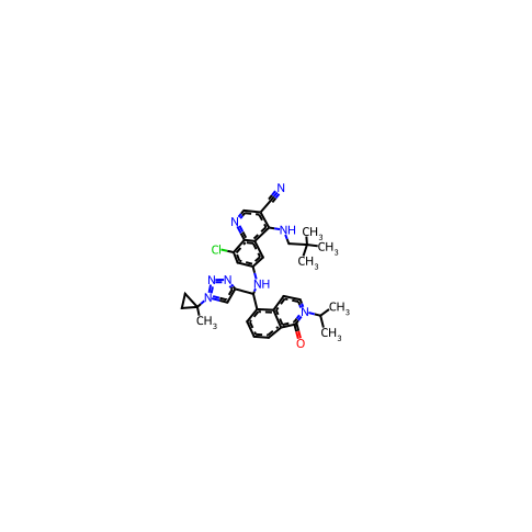 CC(C)n1ccc2c(C(Nc3cc(Cl)c4ncc(C#N)c(NCC(C)(C)C)c4c3)c3cn(C4(C)CC4)nn3)cccc2c1=O